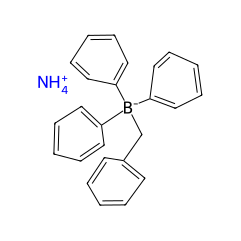 [NH4+].c1ccc(C[B-](c2ccccc2)(c2ccccc2)c2ccccc2)cc1